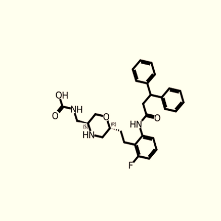 O=C(O)NC[C@H]1CO[C@H](CCc2c(F)cccc2NC(=O)CC(c2ccccc2)c2ccccc2)CN1